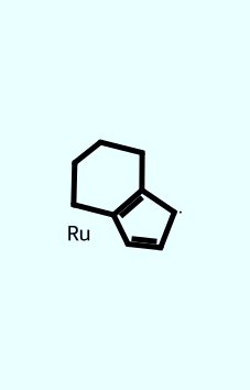 [CH]1C=CC2=C1CCCC2.[Ru]